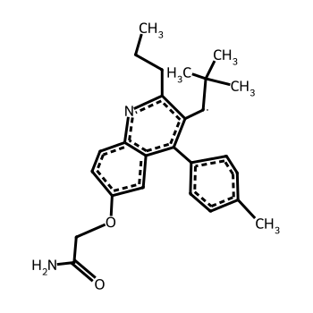 CCCc1nc2ccc(OCC(N)=O)cc2c(-c2ccc(C)cc2)c1[CH]C(C)(C)C